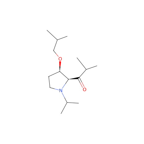 CC(C)CO[C@@H]1CCN(C(C)C)[C@@H]1C(=O)C(C)C